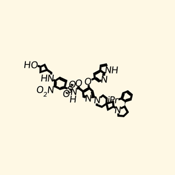 CC(C)c1ccccc1[C@@H]1CCCN1C1CC2(CCN(c3cc(Oc4cnc5[nH]ccc5c4)c(C(=O)NS(=O)(=O)c4ccc(NCC5CC(O)C5)c([N+](=O)[O-])c4)cn3)CC2)C1